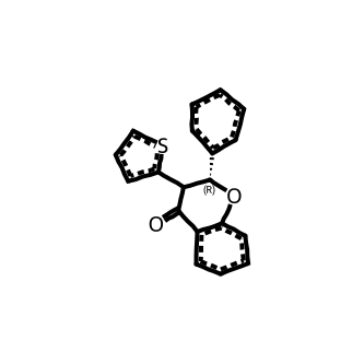 O=C1c2ccccc2O[C@@H](c2ccccc2)C1c1cccs1